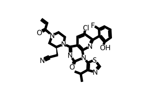 C=CC(=O)N1CCN(c2nc(=O)n(-c3scnc3C(C)C)c3nc(-c4c(O)cccc4F)c(Cl)cc23)[C@@H](CC#N)C1